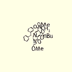 CCCCOc1c2n(cc(C(=O)N(C)OC)c1=O)[C@@H](C(c1ccccc1)c1ccccc1)CN(CCOC)C2=O